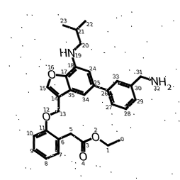 CCOC(=O)Cc1ccccc1OCc1coc2c(NCC(C)C)cc(-c3cccc(CN)c3)cc12